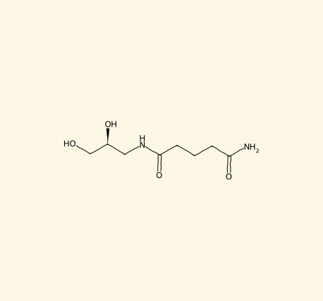 NC(=O)CCCC(=O)NC[C@H](O)CO